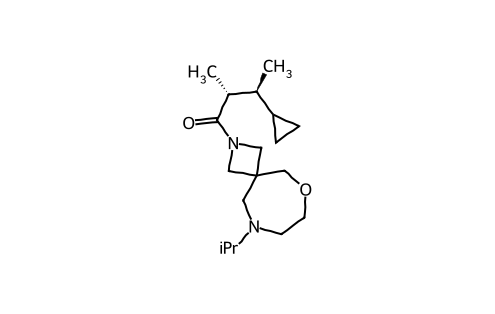 CC(C)N1CCOCC2(CN(C(=O)[C@H](C)[C@@H](C)C3CC3)C2)C1